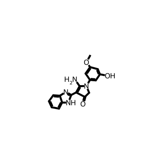 COc1cc(O)cc(N2CC(=O)C(c3nc4ccccc4[nH]3)=C2N)c1